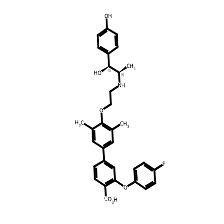 Cc1cc(-c2ccc(C(=O)O)c(Oc3ccc(F)cc3)c2)cc(C)c1OCCN[C@H](C)[C@@H](O)c1ccc(O)cc1